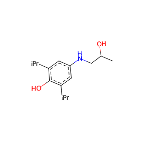 CC(O)CNc1cc(C(C)C)c(O)c(C(C)C)c1